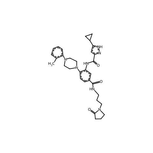 Cc1ccccc1N1CCN(c2ccc(C(=O)NCCCN3CCCC3=O)cc2NC(=O)c2cc(C3CC3)[nH]n2)CC1